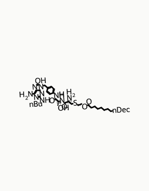 CCCCCCCCCCCCCCCCCC(=O)OCCSC[C@@H](N)C(=O)N[C@@H](CO)C(=O)Nc1ccc(Cn2c(O)nc3c(N)nc(NCCCC)nc32)cc1